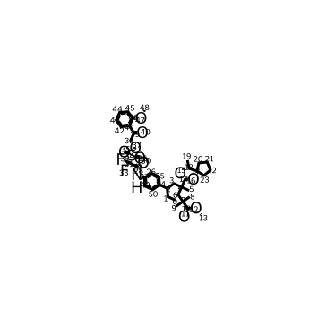 CCC(CC(C)(CC(C)(C)C(=O)OC)C(=O)OC1(CC)CCCC1)c1ccc(NC(=O)C(F)(F)S(=O)(=O)OCC(=O)c2ccccc2OC)cc1